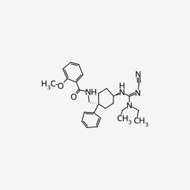 CCN(CC)/C(=N/C#N)N[C@H]1CC[C@@](CNC(=O)c2ccccc2OC)(c2ccccc2)CC1